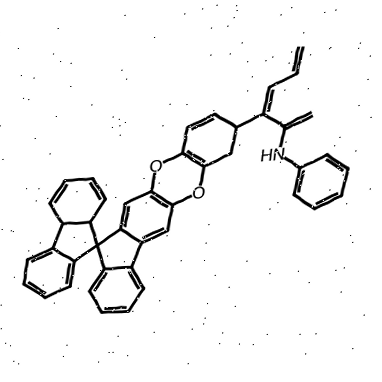 C=C/C=C(\C(=C)Nc1ccccc1)C1C=CC2=C(C1)Oc1cc3c(cc1O2)C1(c2ccccc2-3)c2ccccc2C2C=CC=CC21